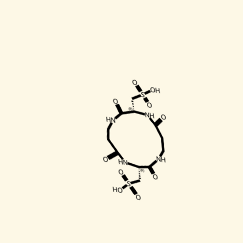 O=C1CCNC(=O)[C@H](CS(=O)(=O)O)NC(=O)CCNC(=O)[C@H](CS(=O)(=O)O)N1